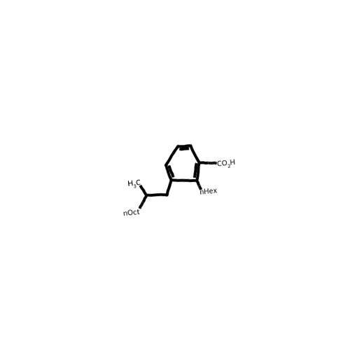 CCCCCCCCC(C)Cc1cccc(C(=O)O)c1CCCCCC